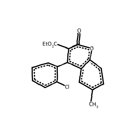 CCOC(=O)c1c(-c2ccccc2Cl)c2cc(C)ccc2oc1=O